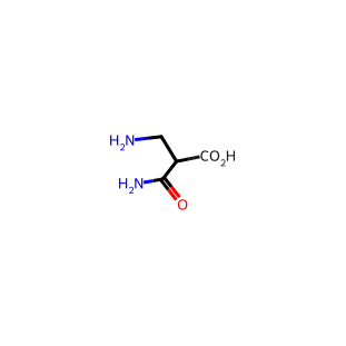 NCC(C(N)=O)C(=O)O